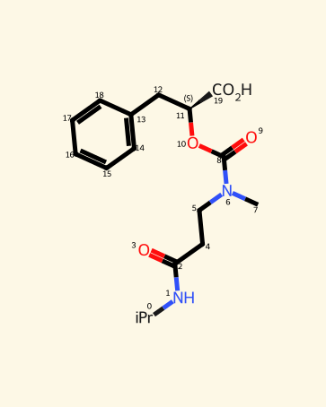 CC(C)NC(=O)CCN(C)C(=O)O[C@@H](Cc1ccccc1)C(=O)O